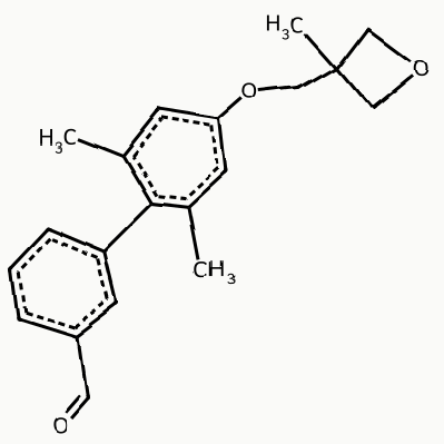 Cc1cc(OCC2(C)COC2)cc(C)c1-c1cccc(C=O)c1